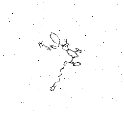 CCC1(NCc2cc(C(=O)OCCCCCCCl)cc(Br)c2N)CCCCC1